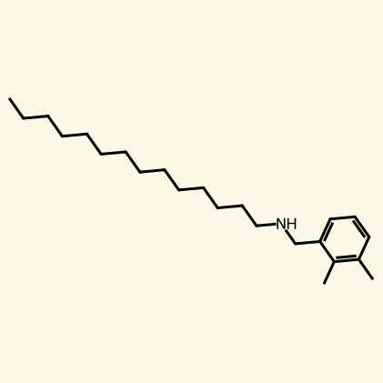 CCCCCCCCCCCCCCNCc1cccc(C)c1C